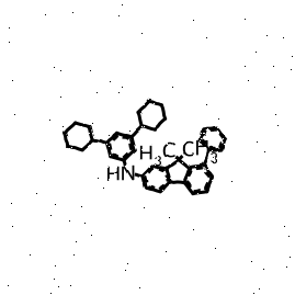 CC1(C)c2cc(Nc3cc(C4CCCCC4)cc(C4CCCCC4)c3)ccc2-c2cccc(-c3ccccc3)c21